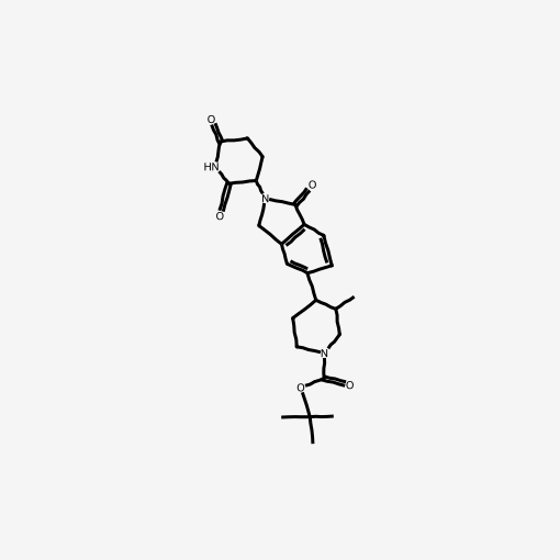 CC1CN(C(=O)OC(C)(C)C)CCC1c1ccc2c(c1)CN(C1CCC(=O)NC1=O)C2=O